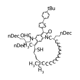 CCCCCCCCCCCCC(CCCCCCCCCC)CN(C=O)c1cc2c3c\c1=C(C)/C(S)=C/C=C/C(C)(C)CCCCCCCCCCC(CCCCCCCCCCCC)CN3C(=O)C=2c1ccc(-c2ccc(C(C)(C)C)cc2)s1